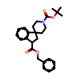 CC(C)(C)OC(=O)N1CCC2(CC1)CC(C(=O)OCc1ccccc1)c1ccccc12